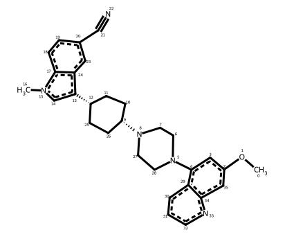 COc1cc(N2CCN([C@H]3CC[C@@H](c4cn(C)c5ccc(C#N)cc54)CC3)CC2)c2cccnc2c1